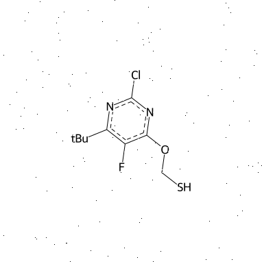 CC(C)(C)c1nc(Cl)nc(OCS)c1F